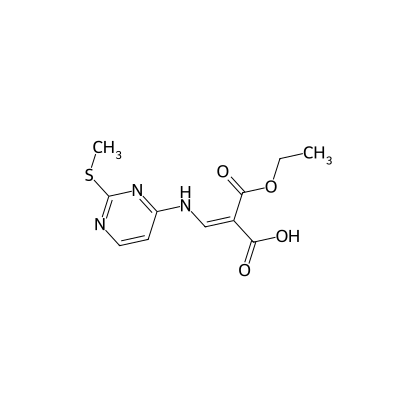 CCOC(=O)C(=CNc1ccnc(SC)n1)C(=O)O